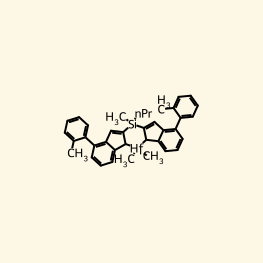 CCC[Si]1(C)C2=Cc3c(-c4ccccc4C)cccc3[CH]2[Hf]([CH3])([CH3])[CH]2C1=Cc1c(-c3ccccc3C)cccc12